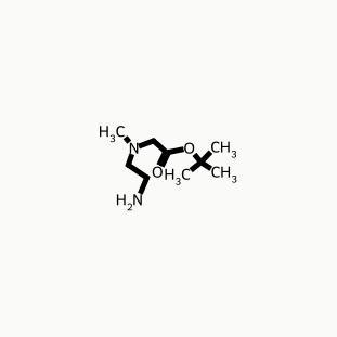 CN(CCN)CC(=O)OC(C)(C)C